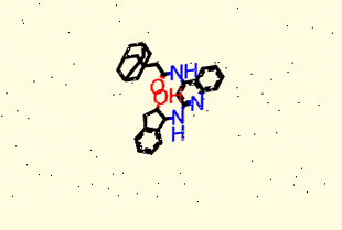 O=C(CC12CC3CC(CC(C3)C1)C2)Nc1cc(NC2c3ccccc3CC2O)nc2ccccc12